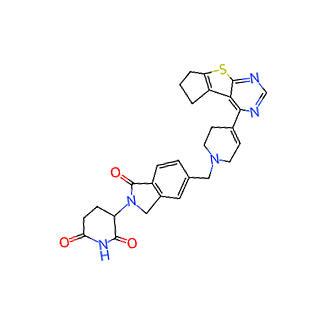 O=C1CCC(N2Cc3cc(CN4CC=C(c5ncnc6sc7c(c56)CCC7)CC4)ccc3C2=O)C(=O)N1